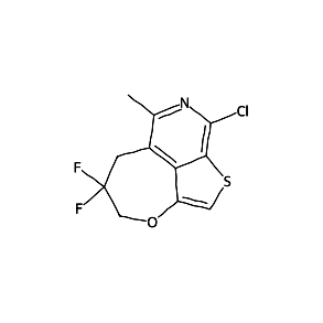 Cc1nc(Cl)c2scc3c2c1CC(F)(F)CO3